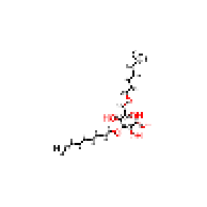 CCCCCCCCOC(C(O)CO)C(O)C(O)COCCCCCCC